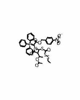 CCSSC(=O)SC1C(C(C)OC(C)=O)C(=O)N1C(C(=O)OCc1ccc([N+](=O)[O-])cc1)=P(c1ccccc1)(c1ccccc1)c1ccccc1